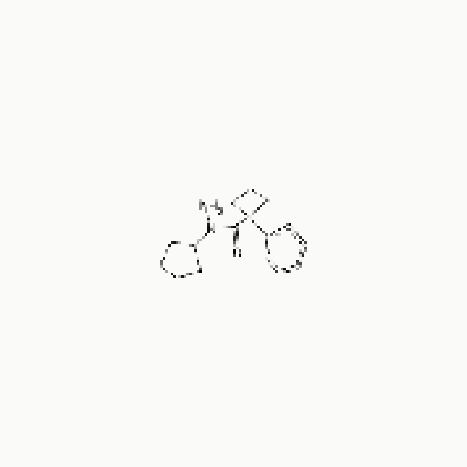 NN(C(=O)C1(c2ccccc2)CCC1)C1CCCC1